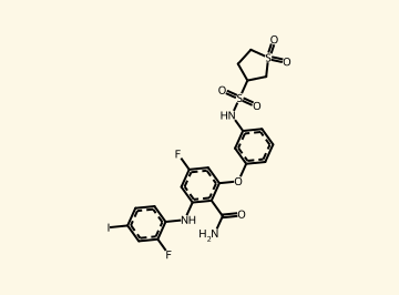 NC(=O)c1c(Nc2ccc(I)cc2F)cc(F)cc1Oc1cccc(NS(=O)(=O)C2CCS(=O)(=O)C2)c1